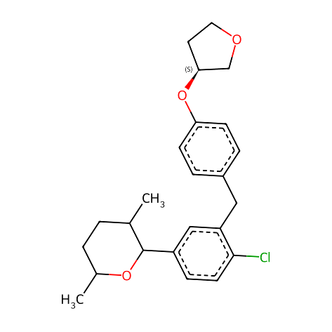 CC1CCC(C)C(c2ccc(Cl)c(Cc3ccc(O[C@H]4CCOC4)cc3)c2)O1